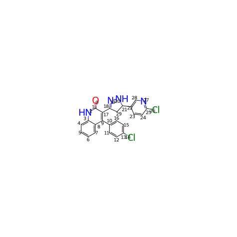 O=c1[nH]c2ccccc2c(-c2ccc(Cl)cc2)c1C1=NNC(c2ccc(Cl)nc2)C1